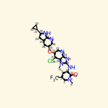 Cn1cc(C(F)(F)F)cc(Nc2nc3ncc(Oc4cnc5[nH]c(C6CC6)cc5c4)c(Cl)c3n2C)c1=O